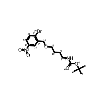 CC(C)(C)OC(=O)NCCCCOCc1cc([N+](=O)[O-])ccc1Br